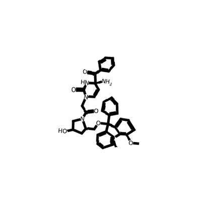 COc1cccc(C(OCC2CC(O)CN2C(=O)CN2C=CC(N)(C(=O)c3ccccc3)NC2=O)(c2ccccc2)c2ccccc2)c1OC